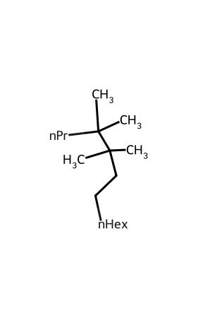 CCCCCCCCC(C)(C)C(C)(C)CCC